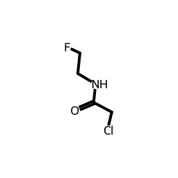 O=C(CCl)NCCF